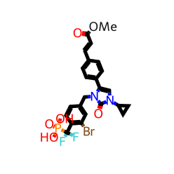 COC(=O)C=Cc1ccc(-c2cn(C3CC3)c(=O)n2Cc2ccc(C(F)(F)P(=O)(O)O)c(Br)c2)cc1